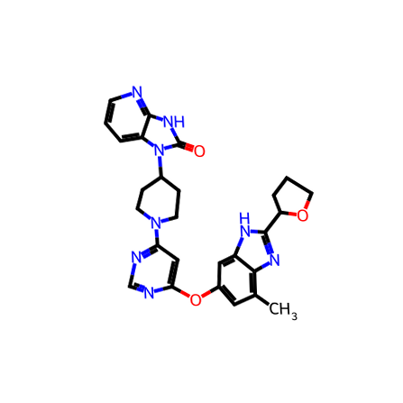 Cc1cc(Oc2cc(N3CCC(n4c(=O)[nH]c5ncccc54)CC3)ncn2)cc2[nH]c(C3CCCO3)nc12